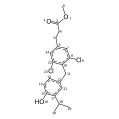 COC(=O)CCc1cc(Cl)c(Cc2ccc(O)c(C(C)C)c2)c(Cl)c1